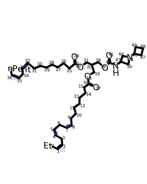 CC/C=C\C/C=C\C/C=C\CCCCCCCC(=O)OCC(COC(=O)CCCCCCC/C=C\C/C=C\CCCCC)COC(=O)NC1CN(C2CCC2)C1